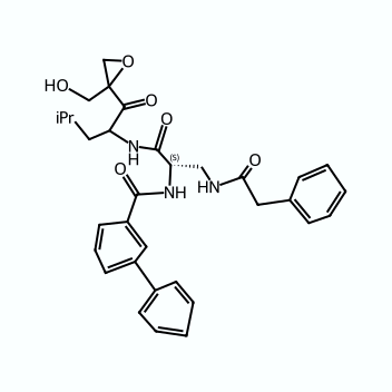 CC(C)CC(NC(=O)[C@H](CNC(=O)Cc1ccccc1)NC(=O)c1cccc(-c2ccccc2)c1)C(=O)C1(CO)CO1